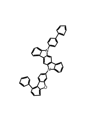 c1ccc(-c2ccc(-n3c4ccccc4c4cc5c(cc43)c3ccccc3n5-c3ccc4c(c3)oc3cccc(-c5ccccc5)c34)cc2)cc1